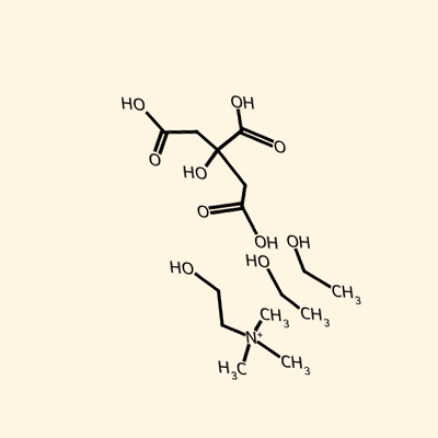 CCO.CCO.C[N+](C)(C)CCO.O=C(O)CC(O)(CC(=O)O)C(=O)O